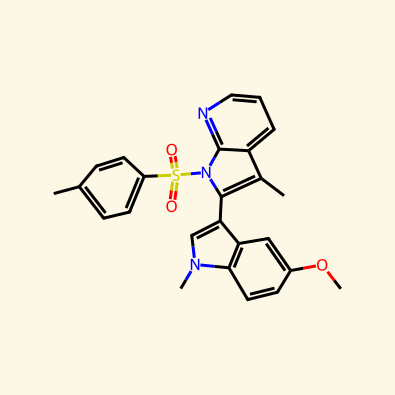 COc1ccc2c(c1)c(-c1c(C)c3cccnc3n1S(=O)(=O)c1ccc(C)cc1)cn2C